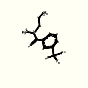 CCCN(C)C(=O)c1cccc(C(F)(F)F)c1